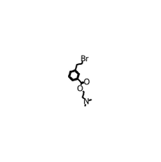 CN(C)CCOC(=O)c1cccc(CCBr)c1